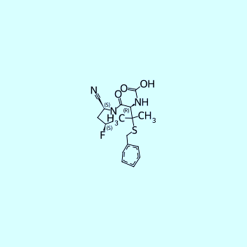 CC(C)(SCc1ccccc1)[C@H](NC(=O)O)C(=O)N1C[C@@H](F)C[C@H]1C#N